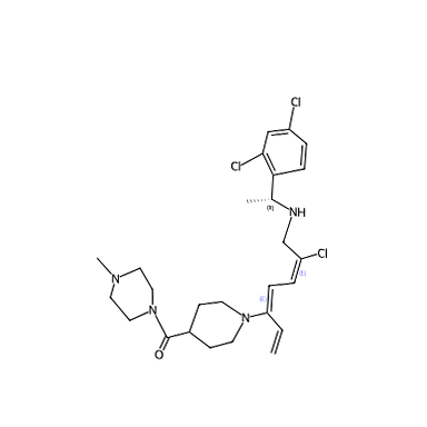 C=C/C(=C\C=C(\Cl)CN[C@H](C)c1ccc(Cl)cc1Cl)N1CCC(C(=O)N2CCN(C)CC2)CC1